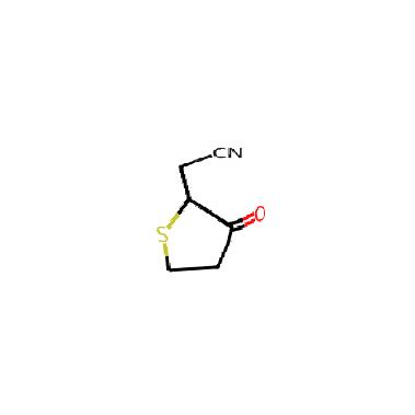 N#CCC1SCCC1=O